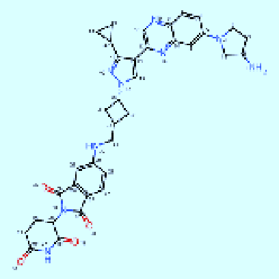 NC1CCN(c2ccc3ncc(-c4cn([C@H]5C[C@H](CNc6ccc7c(c6)C(=O)N(C6CCC(=O)NC6=O)C7=O)C5)nc4C4CC4)nc3c2)C1